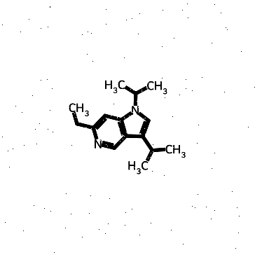 CCc1cc2c(cn1)c(C(C)C)cn2C(C)C